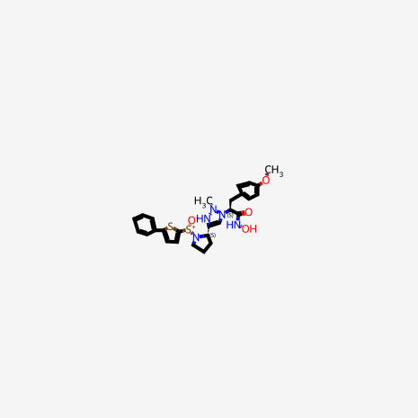 COc1ccc(C[C@@H](C(=O)NO)N2C=C([C@@H]3CCCN3[S+]([O-])c3ccc(-c4ccccc4)s3)NN2C)cc1